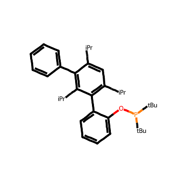 CC(C)c1cc(C(C)C)c(-c2ccccc2OP(C(C)(C)C)C(C)(C)C)c(C(C)C)c1-c1ccccc1